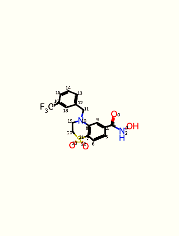 O=C(NO)c1ccc2c(c1)N(Cc1cccc(C(F)(F)F)c1)CCS2(=O)=O